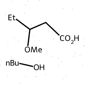 CCC(CC(=O)O)OC.CCCCO